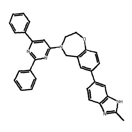 Cc1nc2ccc(-c3ccc4c(c3)CN(c3cc(-c5ccccc5)nc(-c5ccccc5)n3)CCO4)cc2[nH]1